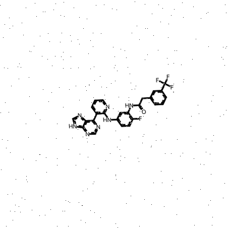 O=C(Cc1cccc(C(F)(F)F)c1)Nc1cc(Nc2ncccc2-c2ncnc3[nH]cnc23)ccc1F